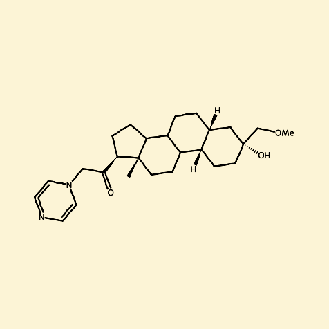 COC[C@@]1(O)CC[C@@H]2C3CC[C@@]4(C)C(CC[C@@H]4C(=O)CN4C=C=NC=C4)C3CC[C@@H]2C1